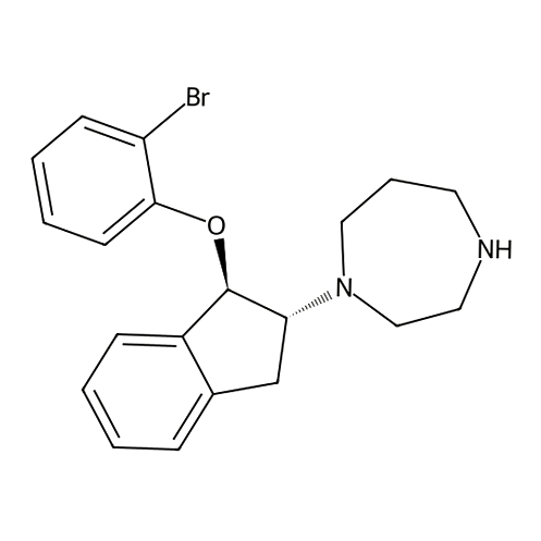 Brc1ccccc1O[C@@H]1c2ccccc2C[C@H]1N1CCCNCC1